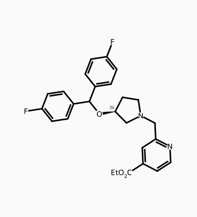 CCOC(=O)c1ccnc(CN2CC[C@H](OC(c3ccc(F)cc3)c3ccc(F)cc3)C2)c1